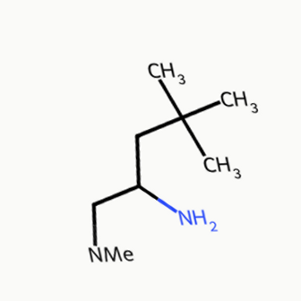 CNCC(N)CC(C)(C)C